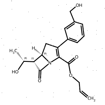 C=CCOC(=O)C1=C(c2cccc(CO)c2)C[C@@H]2[C@@H]([C@@H](C)O)C(=O)N12